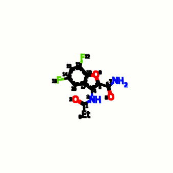 CCC(=O)Nc1c(C(N)=O)oc2c(F)cc(F)cc12